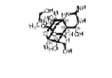 CCO.N=C1N[C@H](O)[C@H]2[C@H]3O[C@]4(O)O[C@@H](C(O)[C@@]2(N1)[C@@H]4O)[C@]3(O)CO